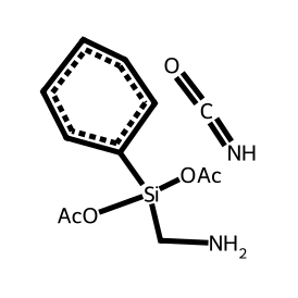 CC(=O)O[Si](CN)(OC(C)=O)c1ccccc1.N=C=O